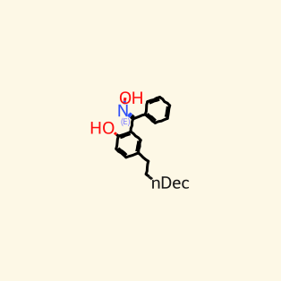 CCCCCCCCCCCCc1ccc(O)c(/C(=N/O)c2ccccc2)c1